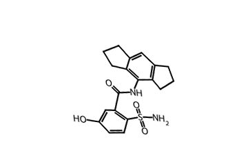 NS(=O)(=O)c1ccc(O)cc1C(=O)Nc1c2c(cc3c1CCC3)CCC2